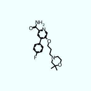 CC1(C)CN(CCCOc2cnc(C(N)=O)cc2-c2ccc(F)cc2)CCO1